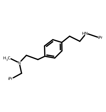 CC(C)CN(C)CCc1ccc(CCNC(C)C)cc1